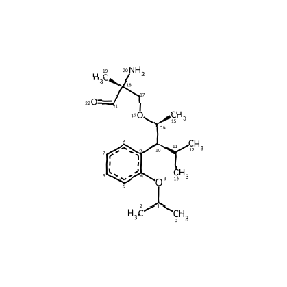 CC(C)Oc1ccccc1[C@H](C(C)C)[C@H](C)OC[C@@](C)(N)C=O